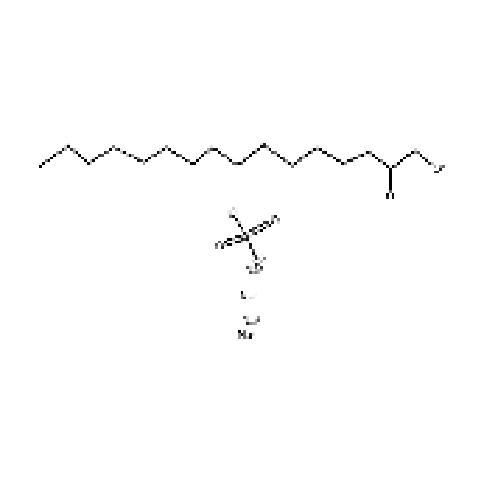 CCCCCCCCCCCCCCC([O-])C[O-].O=S(=O)([O-])[O-].[Na+].[Na+].[Na+].[Na+]